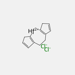 C1=CC2=[C](C1)[Hf+2][C]1=C(C=CC1)CC2.[Cl-].[Cl-]